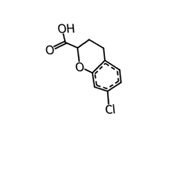 O=C(O)C1CCc2ccc(Cl)cc2O1